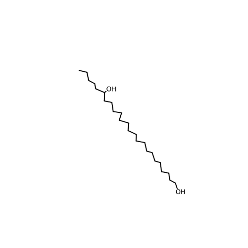 CCCCCC(O)CCCCCCCCCCCCCCCCCCO